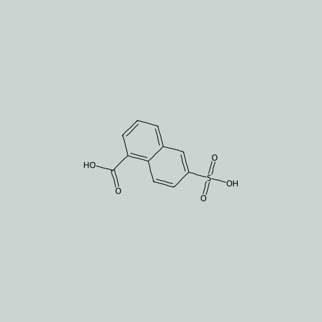 O=C(O)c1cccc2cc(S(=O)(=O)O)ccc12